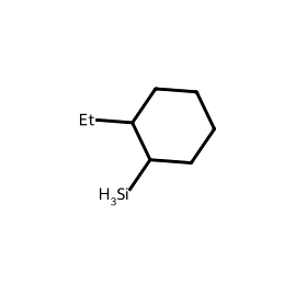 CCC1CCCCC1[SiH3]